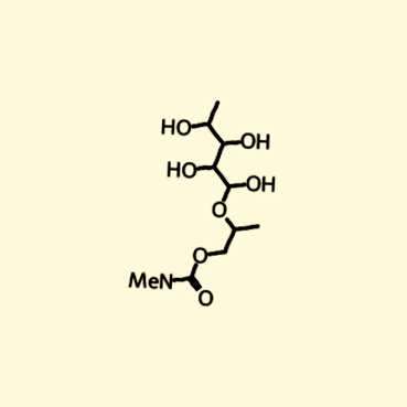 CNC(=O)OCC(C)OC(O)C(O)C(O)C(C)O